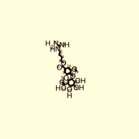 COc1cc(C(=O)OCCCCNC(=N)N)cc(OC)c1O[C@@H]1C[C@H](C(=O)O)[C@@H](O)[C@H](O)[C@H]1O